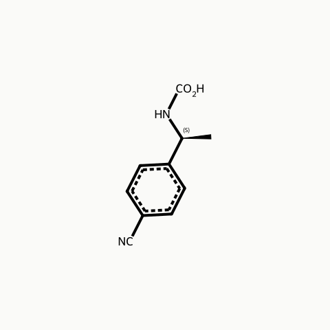 C[C@H](NC(=O)O)c1ccc(C#N)cc1